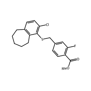 COC(=O)c1ccc(CSc2c(Cl)ccc3c2CCCCC3)cc1F